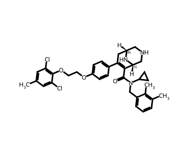 Cc1cc(Cl)c(OCCOc2ccc(C3=C(C(=O)N(Cc4cccc(C)c4C)C4CC4)[C@H]4CNC[C@@H](C3)N4)cc2)c(Cl)c1